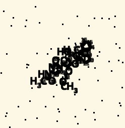 COCCO[C@H]1C(O[P@@]2O[C@](C)(c3ccccc3)[C@@H]3CCCN32)[C@@H](CO)O[C@H]1n1ccc(NC(C)=O)nc1=O